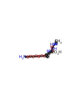 Cc1ccnc(NCCCC(=O)NCC(=O)N[C@@H](CC(=O)O)c2ccc(-c3ccc(OCCOCCOCCOCCOCCOCCOCCN)c4ccccc34)cc2)c1